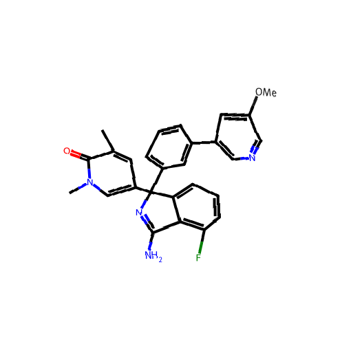 COc1cncc(-c2cccc(C3(c4cc(C)c(=O)n(C)c4)N=C(N)c4c(F)cccc43)c2)c1